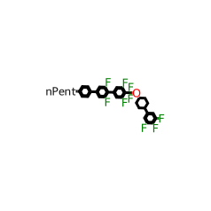 CCCCCc1ccc(-c2cc(F)c(-c3cc(F)c(C(F)(F)OC4CCC(c5cc(F)c(F)c(F)c5)CC4)c(F)c3)c(F)c2)cc1